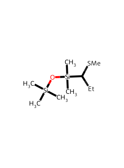 CCC(SC)[Si](C)(C)O[Si](C)(C)C